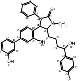 CN1C(=S)N(c2ccccc2)C(c2ccc(-c3cccc(O)c3)cc2O)C1CCCC(O)c1ccc(F)cc1